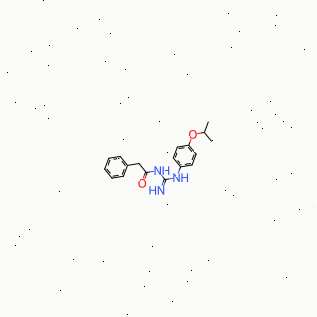 CC(C)Oc1ccc(NC(=N)NC(=O)Cc2ccccc2)cc1